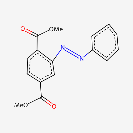 COC(=O)c1ccc(C(=O)OC)c(N=Nc2ccccc2)c1